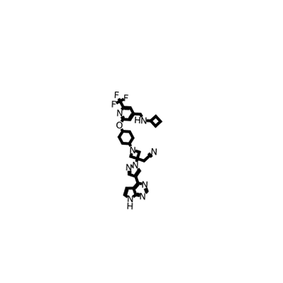 N#CCC1(n2cc(-c3ncnc4[nH]ccc34)cn2)CN(C2CCC(Oc3cc(CNC4CCC4)cc(C(F)(F)F)n3)CC2)C1